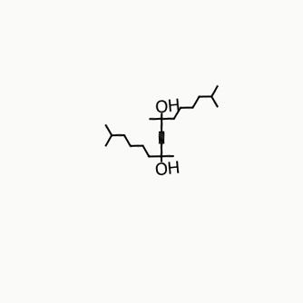 CC(C)CCCCC(C)(O)C#CC(C)(O)CCCCC(C)C